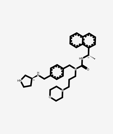 C[C@H](NC(=O)N(CCCN1CCOCC1)Cc1ccc(CN[C@H]2CCNC2)cc1)c1cccc2ccccc12